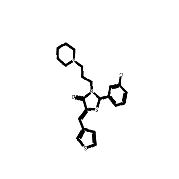 O=C1C(=Cc2ccsc2)SC(c2cccc(Cl)c2)N1CCCN1CCCCC1